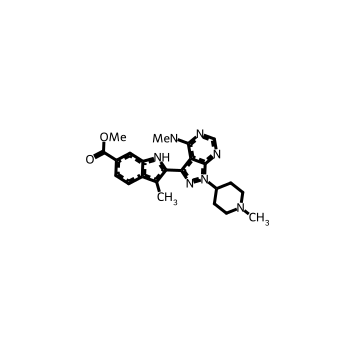 CNc1ncnc2c1c(-c1[nH]c3cc(C(=O)OC)ccc3c1C)nn2C1CCN(C)CC1